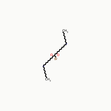 CCCCCCCC/C=C\CCCCCCCC(=O)CC(CBr)C(=O)CCCCCCC/C=C\CCCCCCCC